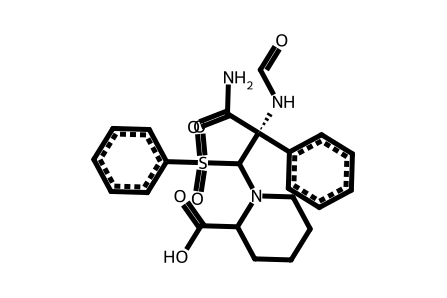 NC(=O)[C@@](NC=O)(c1ccccc1)C(N1CCCCC1C(=O)O)S(=O)(=O)c1ccccc1